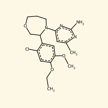 CCOc1cc(Cl)c(C2COCCCN2c2cc(C)nc(N)n2)cc1OC